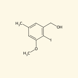 COc1cc(C)cc(CO)c1I